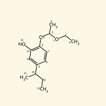 CCOC(C)Oc1ccc(C(C)CC)cc1O